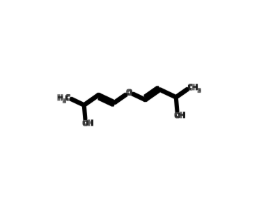 CC(O)/C=C/O/C=C/C(C)O